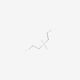 CCCCCCCCCCCC[Si](O)(O)CCCCCCCCCCCC